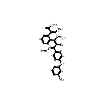 CCON=C(C(CC)=C(ON)c1ccccc1C(=COC)C(=O)OC)c1ccc(Oc2cccc(C(F)(F)F)c2)cc1